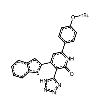 CCCCOc1ccc(-c2cc(-c3cc4ccccc4s3)c(-c3nnn[nH]3)c(=O)[nH]2)cc1